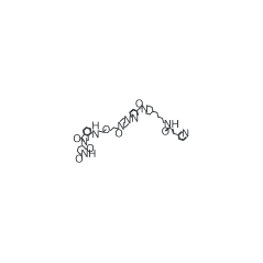 O=C(/C=C/c1cccnc1)NCCCCC1CCN(C(=O)c2ccc(N3CCN(C(=O)CCOCCNc4cccc5c4CN(C4CCC(=O)NC4=O)C5=O)CC3)nc2)CC1